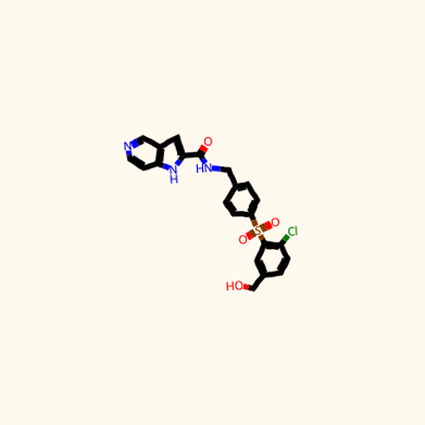 O=C(NCc1ccc(S(=O)(=O)c2cc(CO)ccc2Cl)cc1)c1cc2cnccc2[nH]1